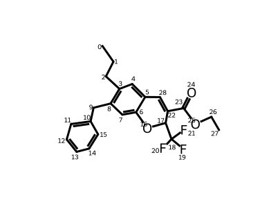 CCCc1cc2c(cc1Cc1ccccc1)OC(C(F)(F)F)C(C(=O)OCC)=C2